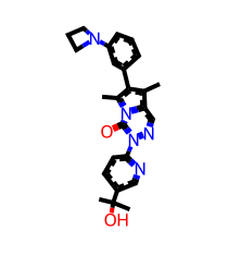 Cc1c(-c2cccc(N3CCC3)c2)c(C)n2c(=O)n(-c3ccc(C(C)(C)O)cn3)ncc12